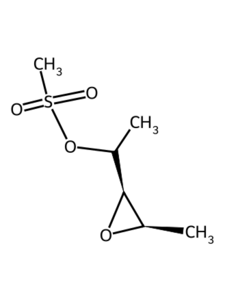 CC(OS(C)(=O)=O)[C@@H]1O[C@@H]1C